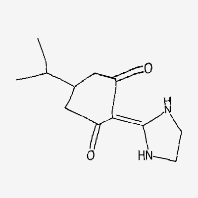 CC(C)C1CC(=O)C(=C2NCCN2)C(=O)C1